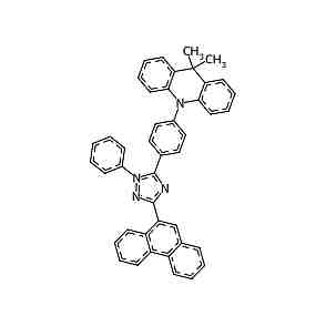 CC1(C)c2ccccc2N(c2ccc(-c3nc(-c4cc5ccccc5c5ccccc45)nn3-c3ccccc3)cc2)c2ccccc21